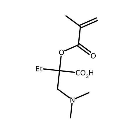 C=C(C)C(=O)OC(CC)(CN(C)C)C(=O)O